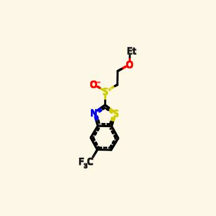 CCOCC[S+]([O-])c1nc2cc(C(F)(F)F)ccc2s1